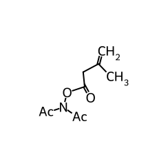 C=C(C)CC(=O)ON(C(C)=O)C(C)=O